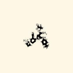 C[N+]1(C2CCC(n3cc(C(N)=O)c(Nc4ccc(C(F)(F)F)cc4)n3)C(C#N)C2)CCC1.O=C([O-])C(F)(F)F